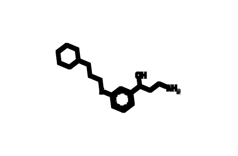 NCCC(O)c1cccc(SCCCC2CCCCC2)c1